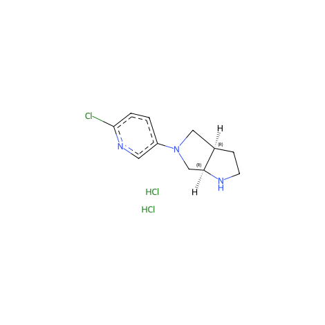 Cl.Cl.Clc1ccc(N2C[C@H]3CCN[C@H]3C2)cn1